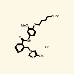 Br.CCCCCCCCCCCCCCOc1ccc(NC(=O)c2ccccc2CN2C=C(C)SC2)cc1OC